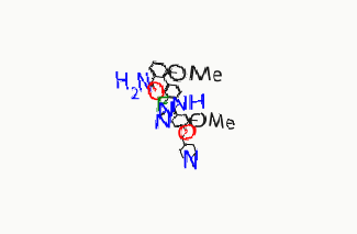 COc1cc2c(Nc3ccc(-c4c(OC)cccc4C(N)=O)cc3F)ncnc2cc1OCC1CCN(C)CC1